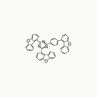 c1ccc2c(c1)oc1cccc(-c3ccc(-c4nc(-c5cccc6oc7ccccc7c56)nc(-c5cccc6oc7ccccc7c56)n4)cc3)c12